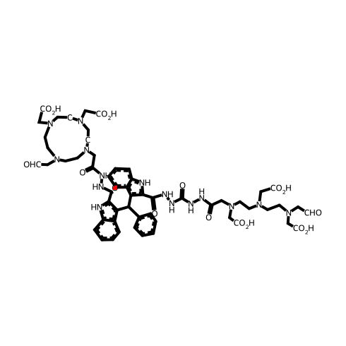 O=CCN1CCN(CC(=O)O)CCN(CC(=O)O)CCN(CC(=O)NNC(=O)c2[nH]c3ccccc3c2C(c2ccccc2)c2c(C(=O)NNC(=O)NNC(=O)CN(CCN(CCN(CC=O)CC(=O)O)CC(=O)O)CC(=O)O)[nH]c3ccccc23)CC1